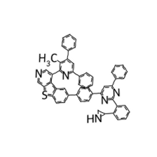 Cc1c(-c2ccccc2)cc(-c2ccccc2)nc1-c1cncc2sc3ccc(-c4ccc(-c5cc(-c6ccccc6)nc(-c6ccccc6C6CN6)n5)cc4)cc3c12